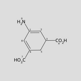 NC1=CC(C(=O)O)CC(C(=O)O)=C1